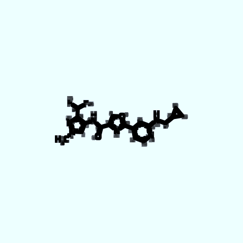 Cn1cc(NC(=O)c2coc(-c3ccnc(NCC4CC4)c3)n2)c(C(F)F)n1